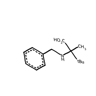 CC(C)(C)C(C)(NCc1ccccc1)C(=O)O